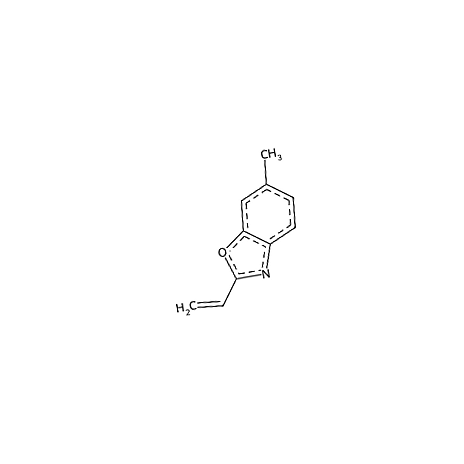 C=Cc1nc2ccc(C)cc2o1